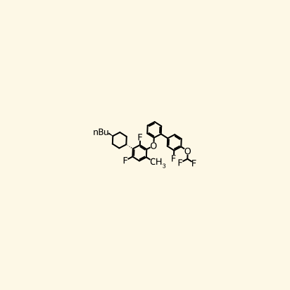 CCCC[C@H]1CC[C@H](c2c(F)cc(C)c(Oc3ccccc3-c3ccc(OC(F)F)c(F)c3)c2F)CC1